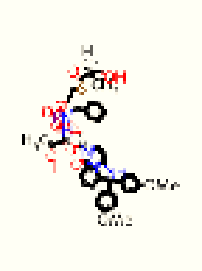 COc1ccc(C(Nc2ccn([C@@H](CO)O[C@H](COP(=O)(NCc3ccccc3)OCCSC(=O)C(C)(C)CO)[C@@H](C)O)c(=O)n2)(c2ccccc2)c2ccc(OC)cc2)cc1